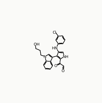 O=CC(=O)c1[nH]cc(Nc2cccc(Cl)c2)c1-c1cn(CCCO)c2ccccc12